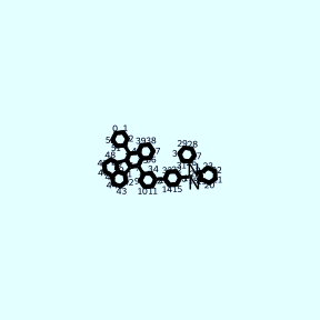 c1ccc(-c2c3c(c(-c4cccc(-c5ccc(-c6nc7ccccc7n6-c6ccccc6)cc5)c4)c4ccccc24)-c2cccc4cccc-3c24)cc1